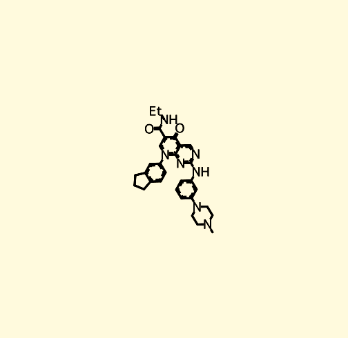 CCNC(=O)c1cn(-c2ccc3c(c2)CCC3)c2nc(Nc3cccc(N4CCN(C)CC4)c3)ncc2c1=O